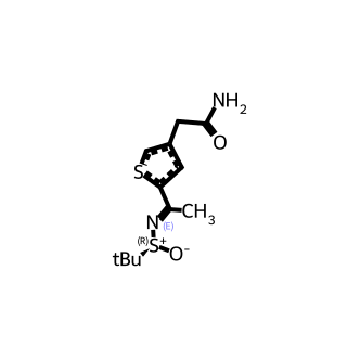 C/C(=N\[S@@+]([O-])C(C)(C)C)c1cc(CC(N)=O)cs1